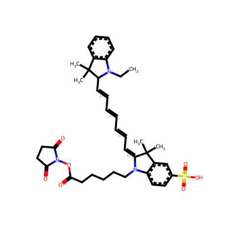 CCN1c2ccccc2C(C)(C)C1/C=C/C=C/C=C/C=C1/N(CCCCCC(=O)ON2C(=O)CCC2=O)c2ccc(S(=O)(=O)O)cc2C1(C)C